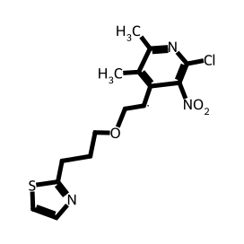 Cc1nc(Cl)c([N+](=O)[O-])c([CH]COCCCc2nccs2)c1C